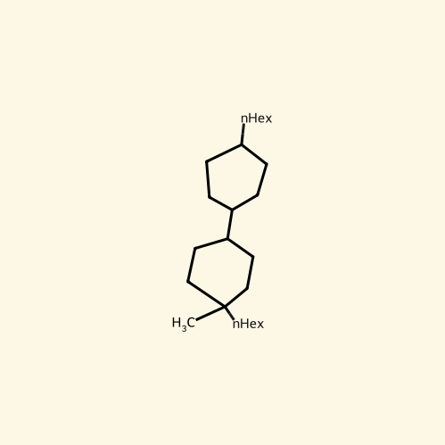 CCCCCCC1CCC(C2CCC(C)(CCCCCC)CC2)CC1